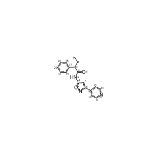 CCC(C(=O)Nc1cc(-c2ccncc2)no1)c1ccccc1